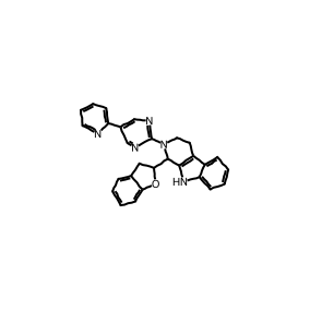 c1ccc(-c2cnc(N3CCc4c([nH]c5ccccc45)C3C3Cc4ccccc4O3)nc2)nc1